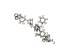 COc1ccc(CCNCc2nc(Cc3ccccc3)n(-c3ccc(S(N)(=O)=O)cc3F)n2)cc1